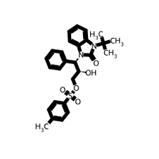 Cc1ccc(S(=O)(=O)OC[C@@H](O)[C@H](c2ccccc2)n2c(=O)n(C(C)(C)C)c3ccccc32)cc1